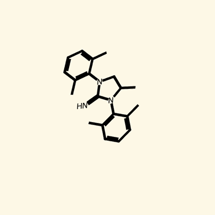 Cc1cccc(C)c1N1CC(C)N(c2c(C)cccc2C)C1=N